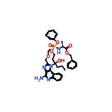 CCCC(O)(CCOP(=O)(N[C@@H](C)C(=O)OCc1ccccc1)Oc1ccccc1)n1c(COCC)nc2c(N)nc3ccccc3c21